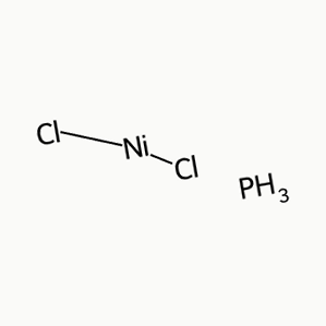 P.[Cl][Ni][Cl]